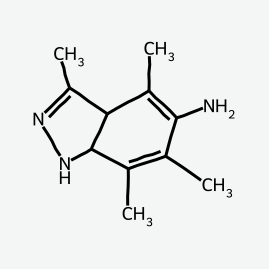 CC1=NNC2C(C)=C(C)C(N)=C(C)C12